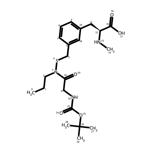 CCCN(SCc1cccc(C[C@H](NC)C(=O)O)c1)C(=O)CNC(=O)OC(C)(C)C